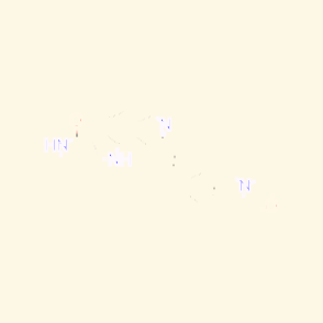 O=C1NCCCc2[nH]c3c(ccc4cnc(C=Cc5cccc(CN6CCOCC6)c5)cc43)c21